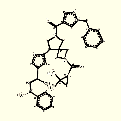 C[C@H](NC(O)c1coc(C2CN(C(=O)c3cnn(Cc4ccccc4)c3)CC23CN(C(=O)[C@H]2CC2(C)C)C3)n1)c1ccccc1